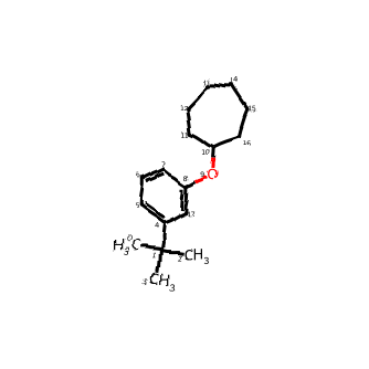 CC(C)(C)c1cccc(OC2CCCCCC2)c1